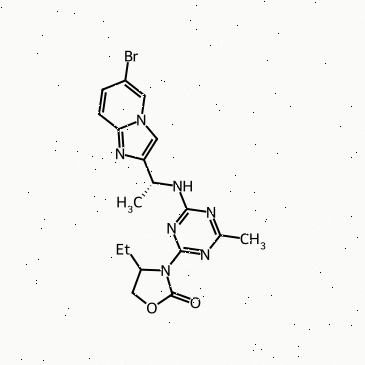 CCC1COC(=O)N1c1nc(C)nc(N[C@H](C)c2cn3cc(Br)ccc3n2)n1